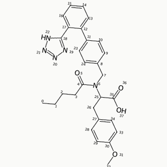 CCCCC(=O)N(Cc1ccc(-c2ccccc2-c2nnn[nH]2)cc1)C(Cc1ccc(OC)cc1)C(=O)O